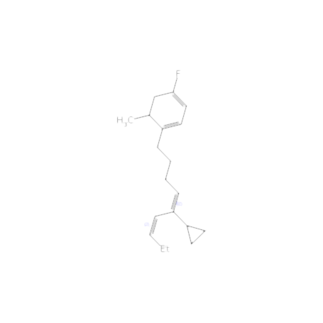 CC/C=C\C(=C/CCCC1=CC=C(F)CC1C)C1CC1